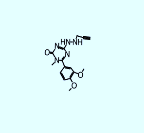 C#CCNNc1nc(-c2ccc(OC)c(OC)c2)n(C)c(=O)n1